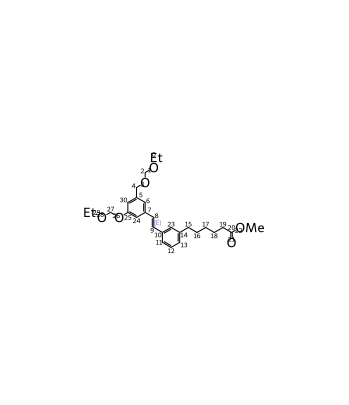 CCOCOCc1cc(/C=C/c2cccc(CCCCCC(=O)OC)c2)cc(OCOCC)c1